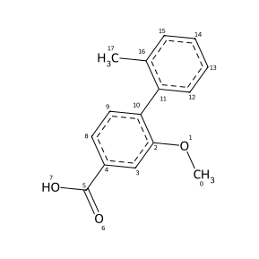 COc1cc(C(=O)O)ccc1-c1ccccc1C